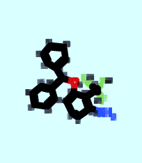 Nc1cccc(OC(c2ccccc2)c2ccccc2)c1C(F)(F)F